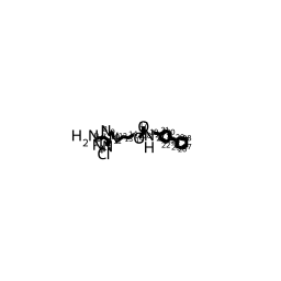 Nc1nc(Cl)nc2c1ncn2CCCCOC(=O)NCc1ccc(-c2ccccc2)cc1